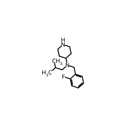 CC(C)CN(Cc1ccccc1F)C1CCNCC1